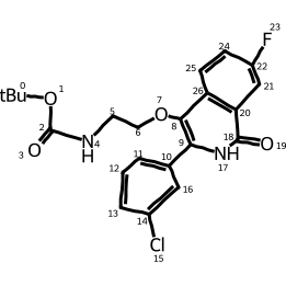 CC(C)(C)OC(=O)NCCOc1c(-c2cccc(Cl)c2)[nH]c(=O)c2cc(F)ccc12